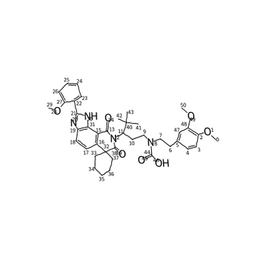 COc1ccc(CCN(CCC(N2C(=O)c3c(ccc4nc(-c5ccccc5OC)[nH]c34)C3(CCCCC3)C2=O)C(C)(C)C)C(=O)O)cc1OC